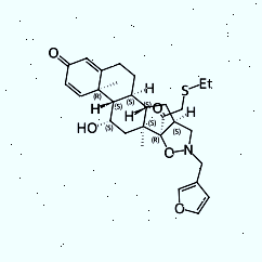 CCSCC(=O)[C@@]12ON(Cc3ccoc3)C[C@@H]1C[C@H]1[C@@H]3CCC4=CC(=O)C=C[C@]4(C)[C@H]3[C@@H](O)C[C@@]12C